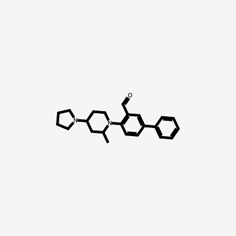 CC1CC(N2CCCC2)CCN1c1ccc(-c2ccccc2)cc1C=O